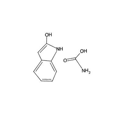 NC(=O)O.Oc1cc2ccccc2[nH]1